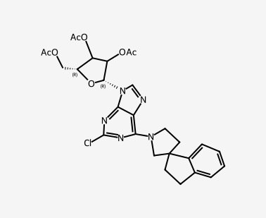 CC(=O)OC[C@H]1O[C@@H](n2cnc3c(N4CCC5(CCc6ccccc65)C4)nc(Cl)nc32)C(OC(C)=O)C1OC(C)=O